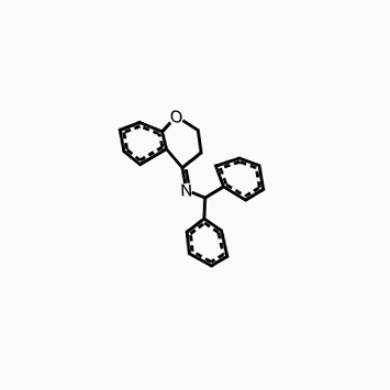 c1ccc(C(N=C2CCOc3ccccc32)c2ccccc2)cc1